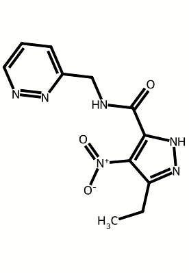 CCc1n[nH]c(C(=O)NCc2cccnn2)c1[N+](=O)[O-]